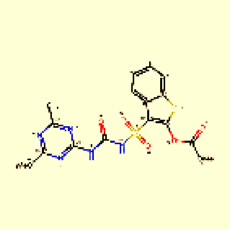 COC(=O)Oc1sc2ccccc2c1S(=O)(=O)NC(=O)Nc1nc(C)nc(OC)n1